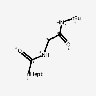 CCCCCCCC(=O)NCC(=O)NC(C)(C)C